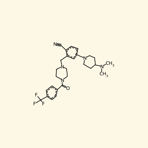 CN(C)C1CCN(c2ccc(C#N)c(CN3CCN(C(=O)c4ccc(C(F)(F)F)cc4)CC3)c2)CC1